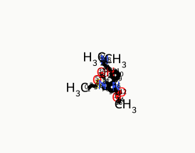 CCCC[S+]([O-])N1Cc2cc(C(=O)OCC)nc(-c3cccc(C#CCN(C)C)c3)c2[C@H]1CCO